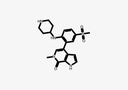 Cn1cc(-c2cc(S(C)(=O)=O)ccc2NC2CCNCC2)c2cc[nH]c2c1=O